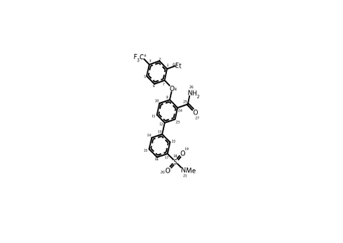 CCc1cc(C(F)(F)F)ccc1Oc1ccc(-c2cccc(S(=O)(=O)NC)c2)cc1C(N)=O